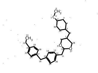 [CH2-][CH+]C1CCC(CC2COC(Cc3ccc(Cc4ccc(CC)cc4)cc3)OC2)CC1